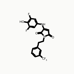 O=C1C=C(Nc2cc(F)c(O)c(F)c2)C(=O)N1CCc1cccc(C(F)(F)F)c1